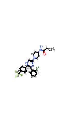 CCC(=O)NC1CCN(c2cnc(-c3ccc(C(F)(F)F)cc3)c(-c3ccccc3Cl)n2)CC1